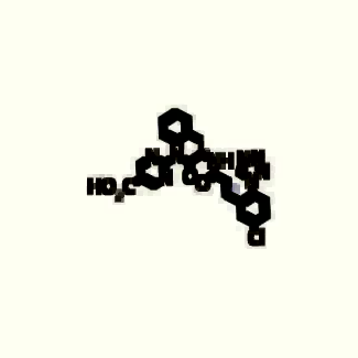 O=C(/C=C/c1cc(Cl)ccc1-n1cnnn1)N[C@@H](Cc1ccccc1)C(=O)Nc1ncc(C(=O)O)cn1